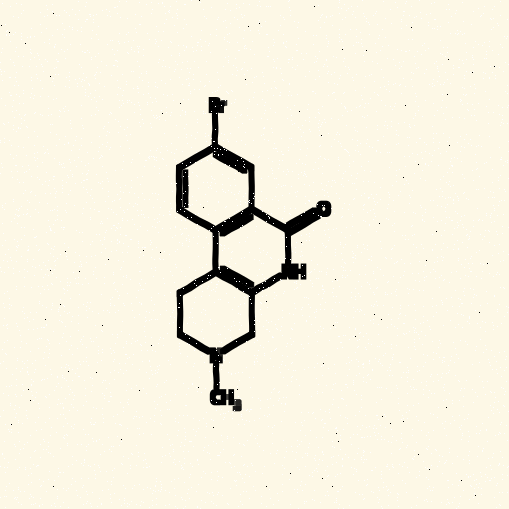 CN1CCc2c([nH]c(=O)c3cc(Br)ccc23)C1